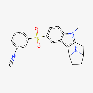 [C-]#[N+]c1cccc(S(=O)(=O)c2ccc3c(c2)c2c(n3C)CC3CCC2N3)c1